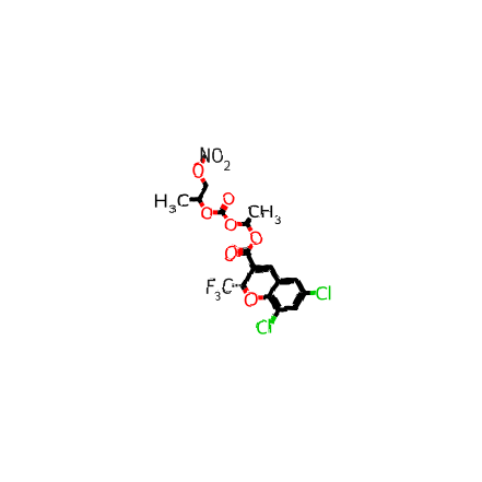 CC(CO[N+](=O)[O-])OC(=O)OC(C)OC(=O)C1=Cc2cc(Cl)cc(Cl)c2O[C@@H]1C(F)(F)F